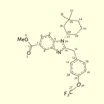 COC(=O)c1ccc2c(c1)nc(Cc1ccc(OC(F)(F)F)cc1)n2[C@H]1CCCC(C)(C)C1